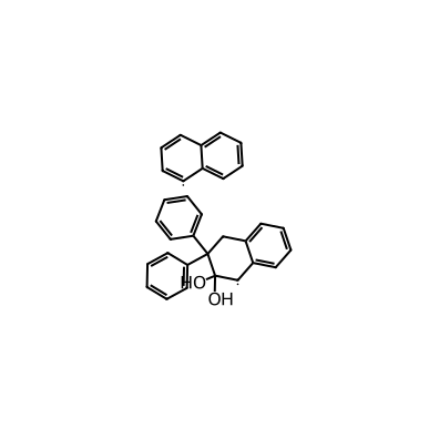 OC1(O)[CH]c2ccccc2CC1(c1ccccc1)c1ccccc1.[c]1cccc2ccccc12